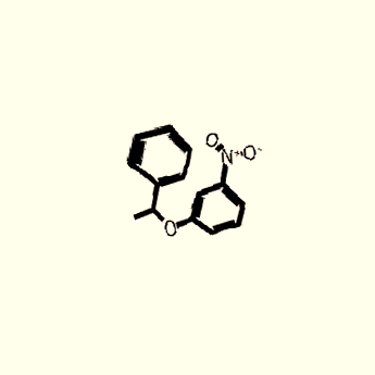 CC(Oc1cccc([N+](=O)[O-])c1)c1ccccc1